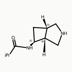 CC(C)C(=O)N[C@H]1C[C@@H]2CNC[C@@H]21